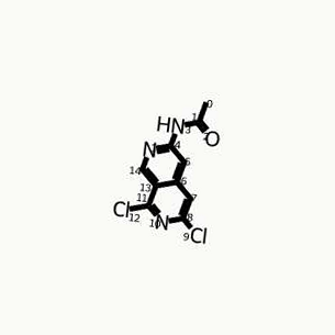 CC(=O)Nc1cc2cc(Cl)nc(Cl)c2cn1